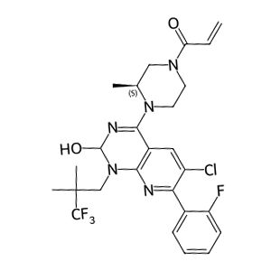 C=CC(=O)N1CCN(C2=NC(O)N(CC(C)(C)C(F)(F)F)c3nc(-c4ccccc4F)c(Cl)cc32)[C@@H](C)C1